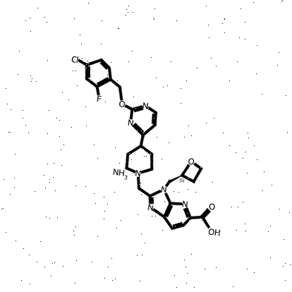 N.O=C(O)c1ccc2nc(CN3CCC(c4ccnc(OCc5ccc(Cl)cc5F)n4)CC3)n(C[C@@H]3CCO3)c2n1